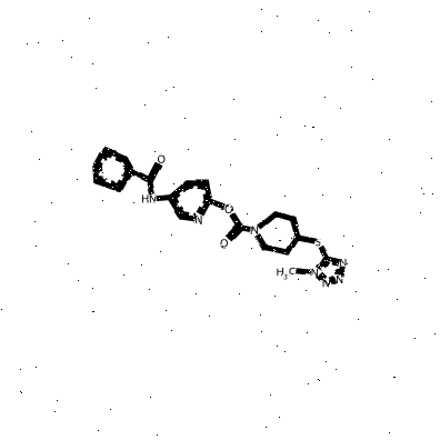 Cn1nnnc1SC1CCN(C(=O)Oc2ccc(NC(=O)c3ccccc3)cn2)CC1